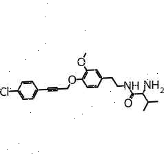 COc1cc(CCNC(=O)[C@@H](N)C(C)C)ccc1OCC#Cc1ccc(Cl)cc1